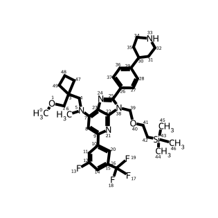 COCC1(CN(C)c2cc(-c3cc(F)cc(C(F)(F)F)c3)nc3c2nc(-c2ccc(C4CCNCC4)cc2)n3COCC[Si](C)(C)C)CCC1